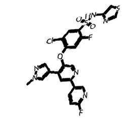 Cn1cc(-c2cc(-c3ccc(F)nc3)ncc2Oc2cc(F)c(S(=O)(=O)Nc3cscn3)cc2Cl)cn1